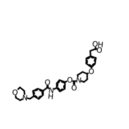 O=C(O)Cc1ccc(OC2CCN(C(=O)Oc3ccc(NC(=O)c4ccc(CN5CCOCC5)cc4)cc3)CC2)cc1